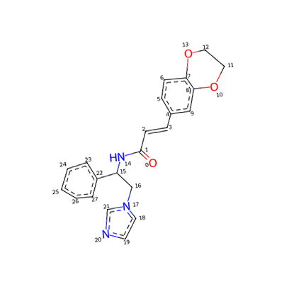 O=C(/C=C/c1ccc2c(c1)OCCO2)NC(Cn1ccnc1)c1ccccc1